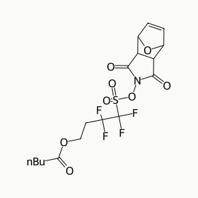 CCCCC(=O)OCCC(F)(F)C(F)(F)S(=O)(=O)ON1C(=O)C2C3C=CC(O3)C2C1=O